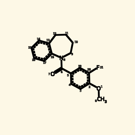 COc1ccc(C(=O)N2CCCCc3ccccc32)cc1F